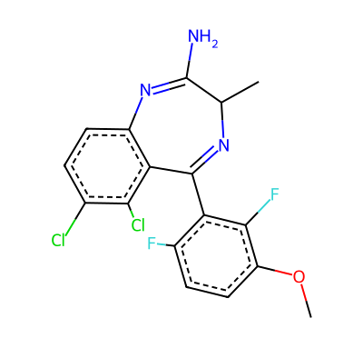 COc1ccc(F)c(C2=NC(C)C(N)=Nc3ccc(Cl)c(Cl)c32)c1F